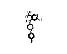 O=C(O)c1cnc(Cl)cc1NC1CCN(c2ccc(F)cc2)CC1